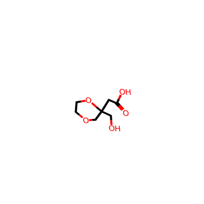 O=C(O)CC1(CO)COCCO1